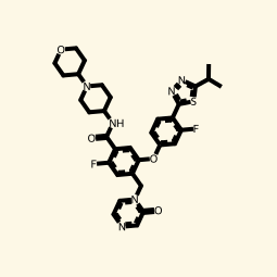 CC(C)c1nnc(-c2ccc(Oc3cc(C(=O)NC4CCN(C5CCOCC5)CC4)c(F)cc3Cn3ccncc3=O)cc2F)s1